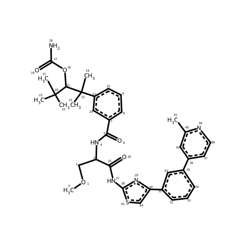 COCC(NC(=O)c1cccc(C(C)(C)C(OC(N)=O)C(C)(C)C)c1)C(=O)Nc1nc(-c2cccc(-c3ccnc(C)c3)c2)cs1